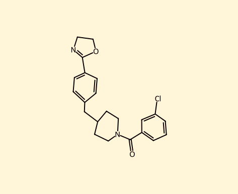 O=C(c1cccc(Cl)c1)N1CCC(Cc2ccc(C3=NCCO3)cc2)CC1